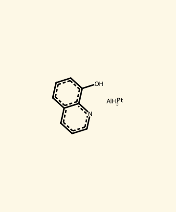 Oc1cccc2cccnc12.[AlH3].[Pt]